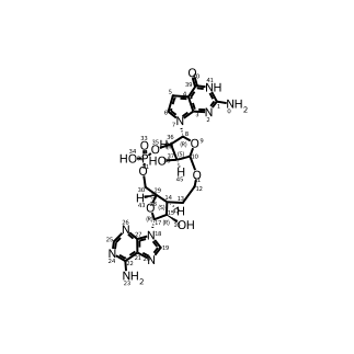 Nc1nc2c(ccn2[C@@H]2OC3OCC[C@H]4[C@@H](O)[C@H](n5cnc6c(N)ncnc65)O[C@@H]4COP(=O)(O)O[C@@H]2[C@@H]3O)c(=O)[nH]1